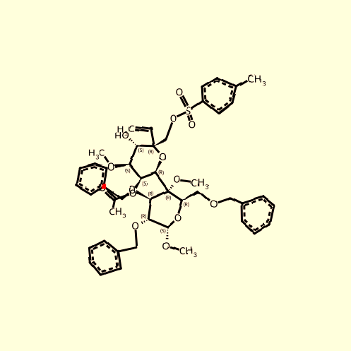 C=C[C@]1(COS(=O)(=O)c2ccc(C)cc2)O[C@@H]([C@]2(OC)[C@H](OCc3ccccc3)[C@@H](OCc3ccccc3)[C@@H](OC)O[C@@H]2COCc2ccccc2)[C@@H](OC(C)=O)[C@@H](OC)[C@@H]1O